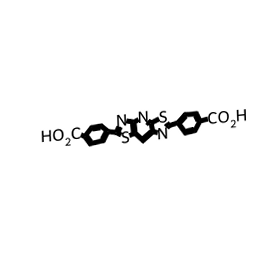 O=C(O)c1ccc(-c2nc3nc4sc(-c5ccc(C(=O)O)cc5)nc4cc3s2)cc1